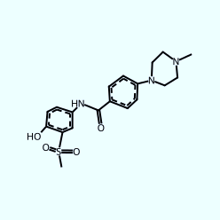 CN1CCN(c2ccc(C(=O)Nc3ccc(O)c(S(C)(=O)=O)c3)cc2)CC1